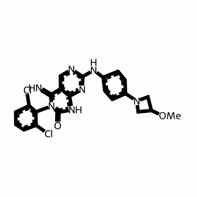 COC1CN(c2ccc(Nc3ncc4c(=N)n(-c5c(Cl)cccc5Cl)c(=O)[nH]c4n3)cc2)C1